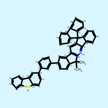 CC1(C)c2ccc(-c3cccc(-c4ccc5sc6ccccc6c5c4)c3)cc2-c2cc3c(nc21)-c1ccccc1C31c2ccccc2-c2ccccc21